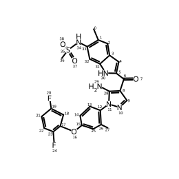 Cc1cc2cc(C(=O)c3cnn(-c4ccc(Oc5cc(F)ccc5F)cc4C)c3N)[nH]c2cc1NS(C)(=O)=O